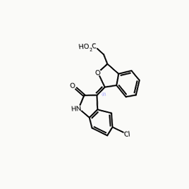 O=C(O)CC1O/C(=C2\C(=O)Nc3ccc(Cl)cc32)c2ccccc21